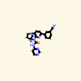 N#Cc1cccc(-c2ccc3c(n2)N(C(=O)Nc2ccncn2)[C@H]2CCN3C2)c1